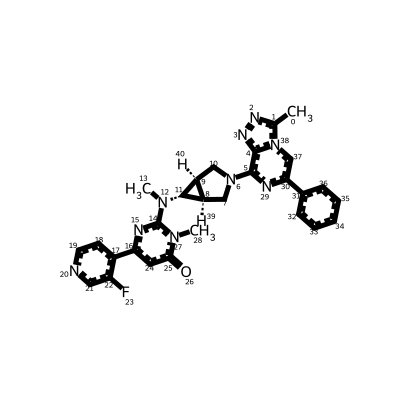 Cc1nnc2c(N3C[C@@H]4[C@H](C3)[C@H]4N(C)c3nc(-c4ccncc4F)cc(=O)n3C)nc(-c3ccccc3)cn12